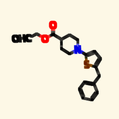 O=CCOC(=O)C1CCN(c2ccc(Cc3ccccc3)s2)CC1